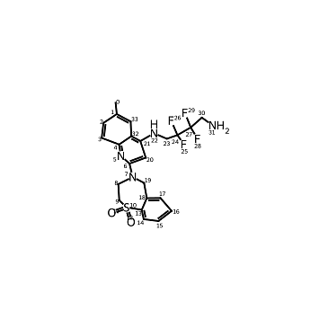 Cc1ccc2nc(N3CCS(=O)(=O)c4ccccc4C3)cc(NCC(F)(F)C(F)(F)CN)c2c1